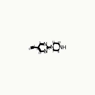 C#Cc1cnc(N2CCNCC2)nc1